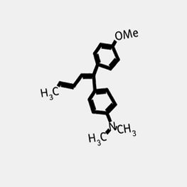 C/C=C/C=C(/c1ccc(OC)cc1)c1ccc(N(C)C)cc1